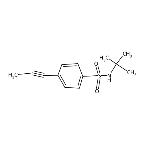 CC#Cc1ccc(S(=O)(=O)NC(C)(C)C)cc1